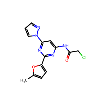 Cc1ccc(-c2nc(NC(=O)CCl)cc(-n3cccn3)n2)o1